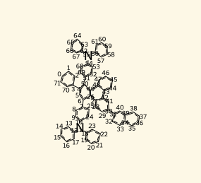 c1ccc(-c2cc(-c3ccc(N(c4ccccc4)c4ccccc4)cc3)c3c4ccc(-c5ccc6ccccc6c5)cc4c4ccccc4c3c2-c2ccc(N(c3ccccc3)c3ccccc3)cc2)cc1